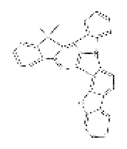 CC1(C)c2ccccc2-c2cc3c4c5oc6ccccc6c5ccc4n4c5ccccc5c(c21)c34